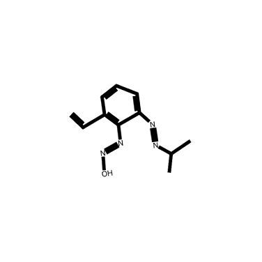 C=Cc1cccc(N=NC(C)C)c1N=NO